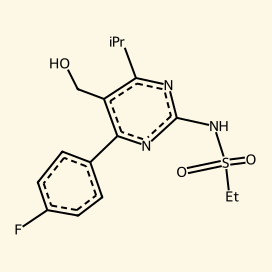 CCS(=O)(=O)Nc1nc(-c2ccc(F)cc2)c(CO)c(C(C)C)n1